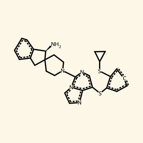 N[C@@H]1c2ccccc2CC12CCN(c1ncc(Sc3ccccc3SC3CC3)c3nccn13)CC2